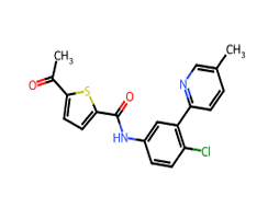 CC(=O)c1ccc(C(=O)Nc2ccc(Cl)c(-c3ccc(C)cn3)c2)s1